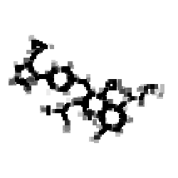 Cc1c(Cc2ccc(-n3nccc3C3CC3)cc2)c(OC(F)F)nc2c(F)ccc(OCC(=O)O)c12